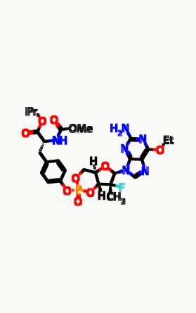 CCOc1nc(N)nc2c1ncn2[C@@H]1O[C@@H]2CO[P@@](=O)(Oc3ccc(C[C@@H](NC(=O)OC)C(=O)OC(C)C)cc3)O[C@H]2[C@@]1(C)F